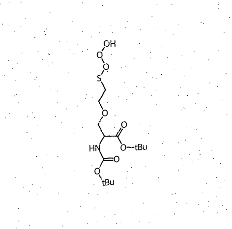 CC(C)(C)OC(=O)NC(COCCSOOO)C(=O)OC(C)(C)C